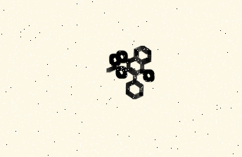 CC(=O)OC1=C(C2CCCCC2)C(=O)c2ccccc2C1=O